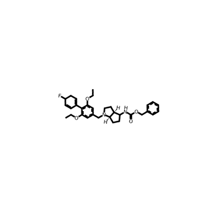 CCOc1cc(CN2CC[C@H]3C(NC(=O)OCc4ccccc4)CC[C@H]32)cc(OCC)c1C1=CCC(F)C=C1